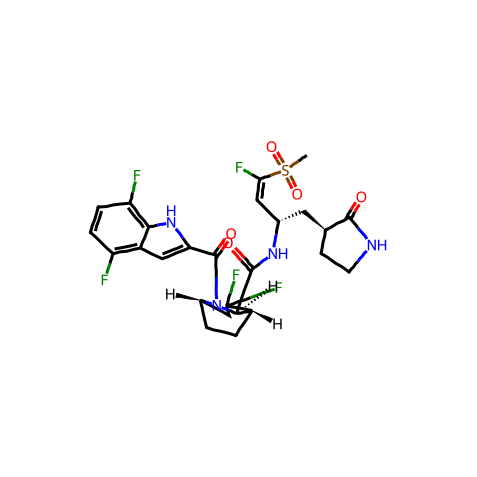 CS(=O)(=O)/C(F)=C\[C@H](C[C@@H]1CCNC1=O)NC(=O)[C@H]1[C@@H]2CC[C@@H](CC2(F)F)N1C(=O)c1cc2c(F)ccc(F)c2[nH]1